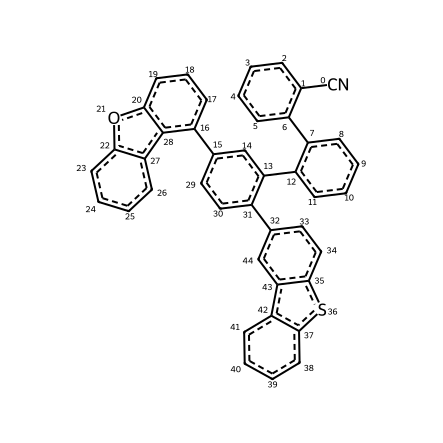 N#Cc1ccccc1-c1ccccc1-c1cc(-c2cccc3oc4ccccc4c23)ccc1-c1ccc2sc3ccccc3c2c1